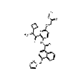 CC(C)OC(=O)COc1ccc(NC(=O)c2ccc(Cn3ccnn3)c3ccccc23)c(C(=O)N(C)C2CCC2)n1